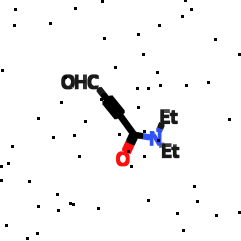 CCN(CC)C(=O)C#CC=O